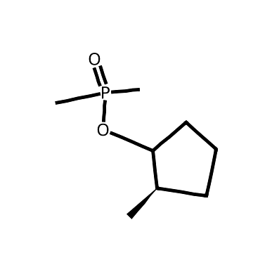 C[C@@H]1CCCC1OP(C)(C)=O